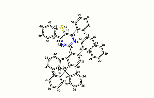 c1ccc(-c2nc(-c3cc4c(cc3-c3cccc5ccccc35)-c3ccccc3C4(c3ccccc3)c3ccccc3)nc3c2sc2ccccc23)cc1